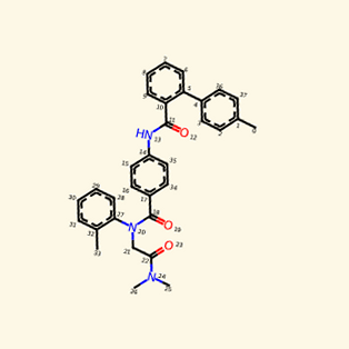 Cc1ccc(-c2ccccc2C(=O)Nc2ccc(C(=O)N(CC(=O)N(C)C)c3ccccc3C)cc2)cc1